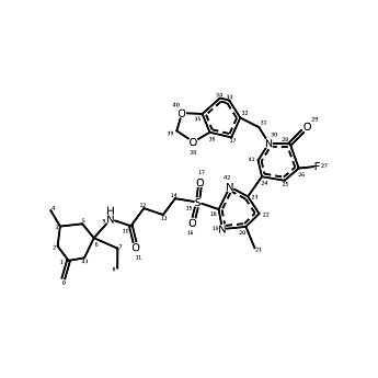 C=C1CC(C)CC(CC)(NC(=O)CCCS(=O)(=O)c2nc(C)cc(-c3cc(F)c(=O)n(Cc4ccc5c(c4)OCO5)c3)n2)C1